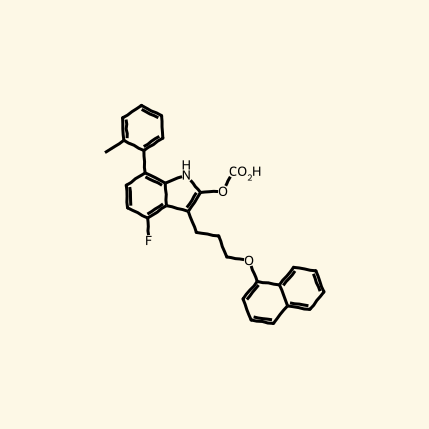 Cc1ccccc1-c1ccc(F)c2c(CCCOc3cccc4ccccc34)c(OC(=O)O)[nH]c12